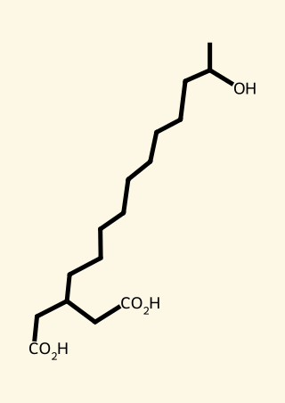 CC(O)CCCCCCCCCC(CC(=O)O)CC(=O)O